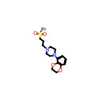 CC(C)S(=O)(=O)CCCN1CCN(c2cccc3c2OCCO3)CC1